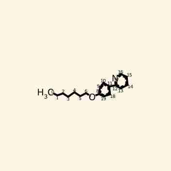 CCCCCCCOc1ccc(-c2ccccn2)cc1